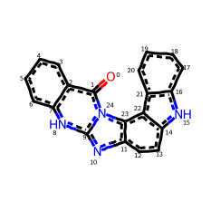 O=c1c2ccccc2[nH]c2nc3ccc4[nH]c5ccccc5c4c3n12